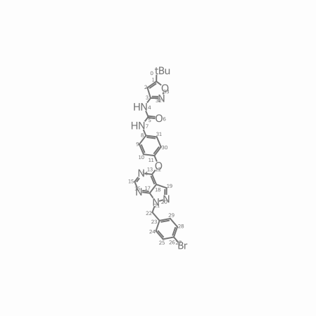 CC(C)(C)c1cc(NC(=O)Nc2ccc(Oc3ncnc4c3cnn4Cc3ccc(Br)cc3)cc2)no1